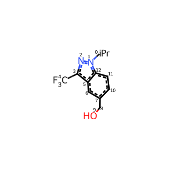 CC(C)n1nc(C(F)(F)F)c2cc(CO)ccc21